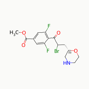 COC(=O)c1cc(F)c(C(=O)C(Br)C[C@H]2CNCCO2)c(F)c1